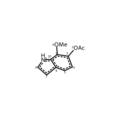 COc1c(OC(C)=O)ccc2cc[nH]c12